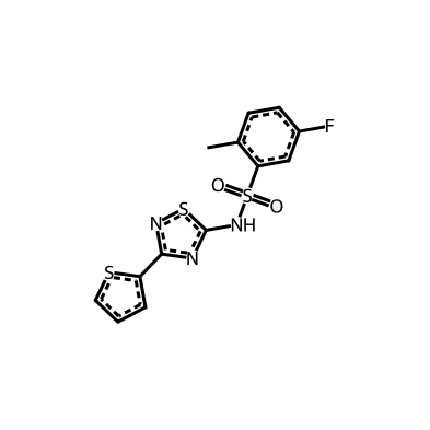 Cc1ccc(F)cc1S(=O)(=O)Nc1nc(-c2cccs2)ns1